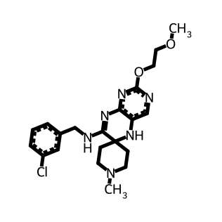 COCCOc1ncc2c(n1)N=C(NCc1cccc(Cl)c1)C1(CCN(C)CC1)N2